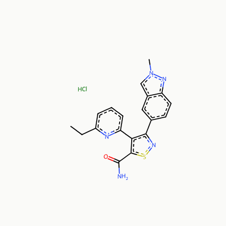 CCc1cccc(-c2c(-c3ccc4nn(C)cc4c3)nsc2C(N)=O)n1.Cl